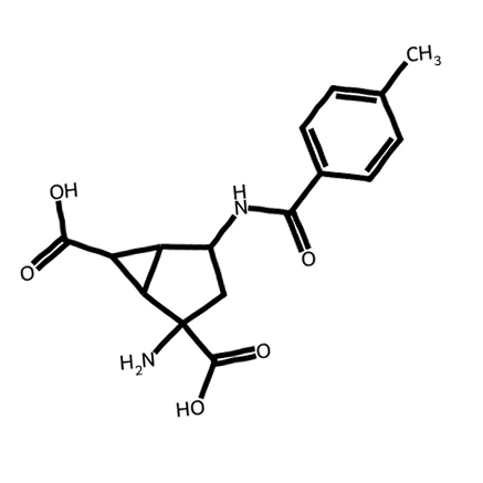 Cc1ccc(C(=O)NC2CC(N)(C(=O)O)C3C(C(=O)O)C23)cc1